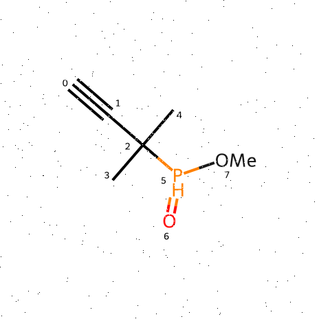 C#CC(C)(C)[PH](=O)OC